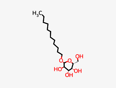 CCCCCCCCCCCCO[C@H]1O[C@H](CO)[C@H](O)[C@H](O)[C@H]1O